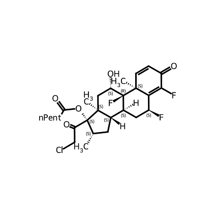 CCCCCC(=O)O[C@@]1(C(=O)CCl)[C@@H](C)C[C@H]2[C@@H]3C[C@H](F)C4=C(F)C(=O)C=C[C@]4(C)[C@@]3(F)[C@@H](O)C[C@@]21C